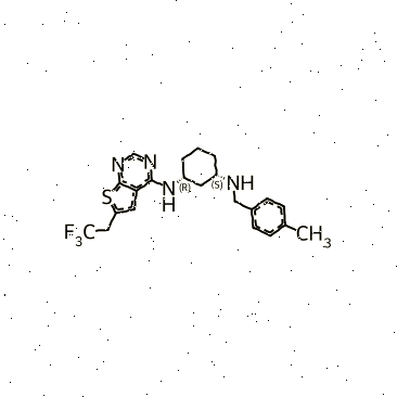 Cc1ccc(CN[C@H]2CCC[C@@H](Nc3ncnc4sc(CC(F)(F)F)cc34)C2)cc1